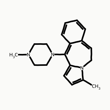 Cc1ccc2n1CC=c1ccccc1=C2N1CCN(C)CC1